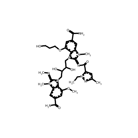 CCn1nc(C)cc1C(=O)/N=c1\n(C)c2cc(C(N)=O)cc(OCCCO)c2n1CC(O)C(O)Cn1/c(=N/C)n(C)c2cc(C(N)=O)cc(OC)c21